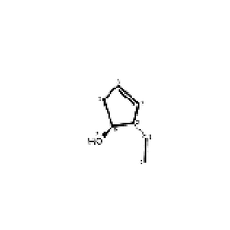 CC[C@H]1C=CC[C@@H]1O